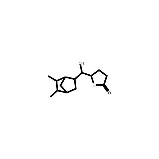 CC1C2CC(C1C)C(C(O)C1CCC(=O)O1)C2